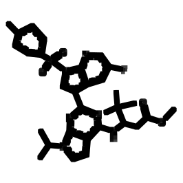 COC(=O)CC(Nc1nc(-c2cn(S(=O)(=O)c3ccc(C)cc3)c3ncc(F)cc23)nc2c1ccn2C(C)C)C(C)(C)C